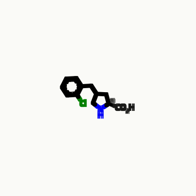 O=C(O)[C@@H]1CC(Cc2ccccc2Cl)CN1